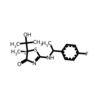 CC(NC1=NC(=O)[C@](C)(C(C)(C)O)S1)c1ccc(F)cc1